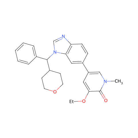 CCOc1cc(-c2ccc3ncn(C(c4ccccc4)C4CCOCC4)c3c2)cn(C)c1=O